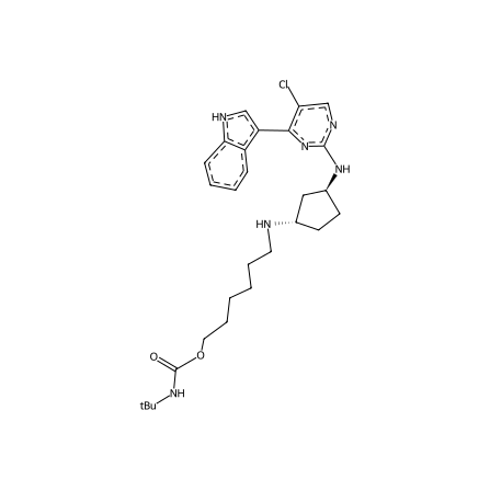 CC(C)(C)NC(=O)OCCCCCCN[C@H]1CC[C@H](Nc2ncc(Cl)c(-c3c[nH]c4ccccc34)n2)C1